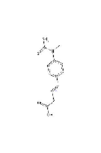 CN(C(N)=S)c1ccc(/C=C/CC(=O)O)cc1